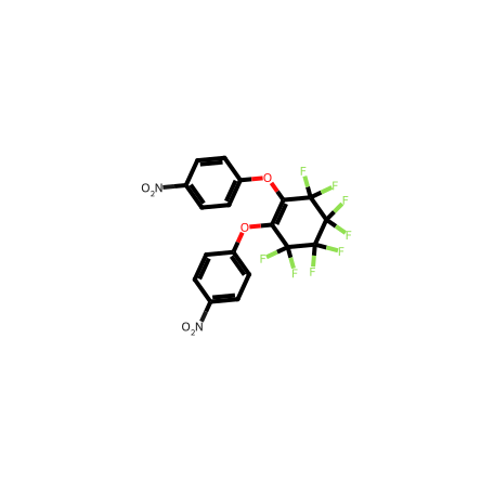 O=[N+]([O-])c1ccc(OC2=C(Oc3ccc([N+](=O)[O-])cc3)C(F)(F)C(F)(F)C(F)(F)C2(F)F)cc1